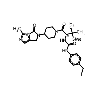 CSC(C)(C)[C@@H](NC(=O)Nc1ccc(CI)cc1)C(=O)N1CCC(N2Cc3cnc(C)n3C2=O)CC1